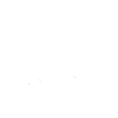 Clc1ccc(C2=C(OCCN3CCCC3)N=NC2)cc1